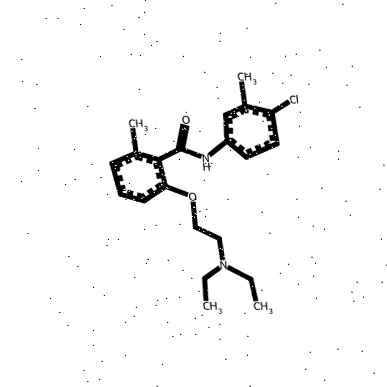 CCN(CC)CCOc1cccc(C)c1C(=O)Nc1ccc(Cl)c(C)c1